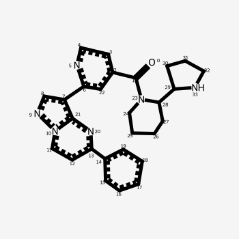 O=C(c1ccnc(-c2cnn3ccc(-c4ccccc4)nc23)c1)N1CCCCC1C1CCCN1